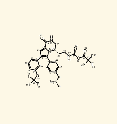 CN(C)Cc1ccc(-c2c(-c3cccc(OC(F)(F)F)c3)cc3n2[C@@H](CCNC(=O)OC(=O)C(F)(F)F)CNC3=O)cc1